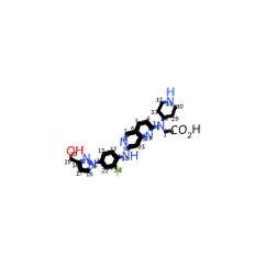 O=C(O)CN(c1ccc2cnc(Nc3ccc(-n4ccc(CO)n4)cc3F)cc2n1)C1CCNCC1